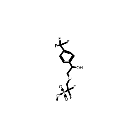 COS(=O)(=O)C(F)(F)COCC(O)c1ccc(C(F)(F)F)cc1